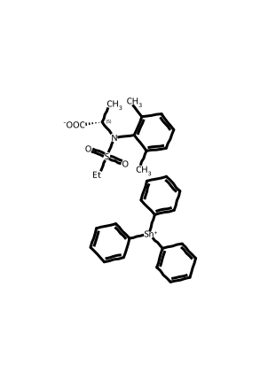 CCS(=O)(=O)N(c1c(C)cccc1C)[C@@H](C)C(=O)[O-].c1cc[c]([Sn+]([c]2ccccc2)[c]2ccccc2)cc1